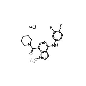 Cl.Cn1ccc2c(Nc3ccc(F)c(F)c3)ncc(C(=O)N3CCCCC3)c21